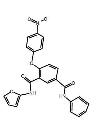 O=C(Nc1ccccc1)c1ccc(Oc2ccc([N+](=O)[O-])cc2)c(C(=O)Nc2ccco2)c1